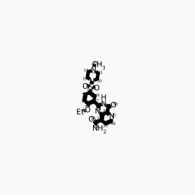 CCOc1ccc(S(=O)(=O)N2CCN(C)CC2)cc1-c1nc2c(C(N)=O)ccnc2c(=O)[nH]1